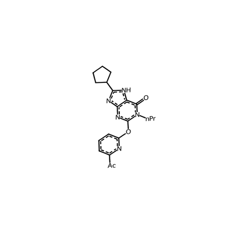 CCCn1c(Oc2cccc(C(C)=O)n2)nc2nc(C3CCCC3)[nH]c2c1=O